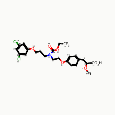 CCOC(Cc1ccc(OCCN(CCCOc2cc(Cl)cc(Cl)c2)C(=O)OCC(F)(F)F)cc1)C(=O)O